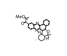 CON(C)C(=O)c1ccc2nc3c4c(c5ccccc5c3nc2c1)OC(C)(C)[C@H]1CC[C@H](C)C[C@H]41